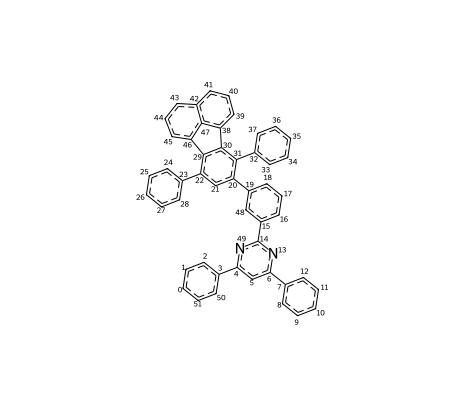 c1ccc(-c2cc(-c3ccccc3)nc(-c3cccc(-c4cc(-c5ccccc5)c5c(c4-c4ccccc4)-c4cccc6cccc-5c46)c3)n2)cc1